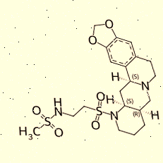 CS(=O)(=O)NCCS(=O)(=O)N1CCC[C@@H]2CN3CCc4cc5c(cc4[C@@H]3C[C@@H]21)OCO5